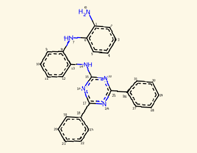 Nc1ccccc1Nc1ccccc1Nc1nc(-c2ccccc2)nc(-c2ccccc2)n1